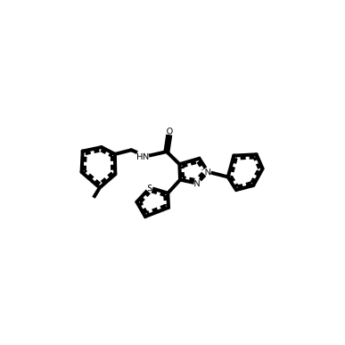 Cc1cccc(CNC(=O)c2cn(-c3ccccc3)nc2-c2cccs2)c1